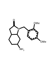 COc1ccc(CN2C(=O)CC3CCC(N)CC32)c(OC)c1